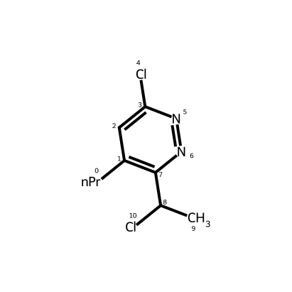 CCCc1cc(Cl)nnc1C(C)Cl